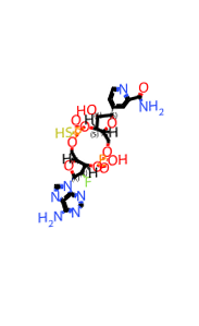 NC(=O)c1cc([C@@H]2O[C@@H]3COP(=O)(O)O[C@H]4[C@@H](F)[C@H](n5cnc6c(N)ncnc65)O[C@@H]4COP(=O)(S)O[C@H]3[C@H]2O)ccn1